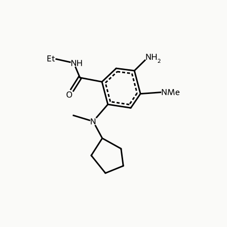 CCNC(=O)c1cc(N)c(NC)cc1N(C)C1CCCC1